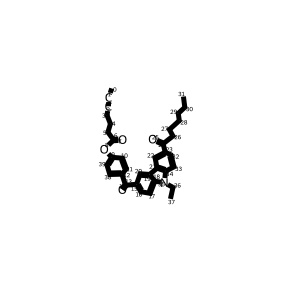 CCCCCCC(=O)Oc1ccc(C(=O)c2ccc3c(c2)c2cc(C(=O)CCCCCC)ccc2n3CC)cc1